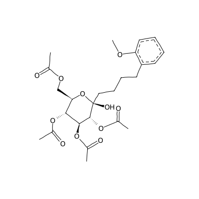 COc1ccccc1CCCC[C@@]1(O)O[C@H](COC(C)=O)[C@@H](OC(C)=O)[C@H](OC(C)=O)[C@H]1OC(C)=O